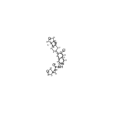 C[C@]1(N2CCC(c3cc4cc(NC(=O)[C@H]5CC56CCOC6)ncc4cc3Cl)CC2)COC[C@H]1F